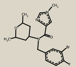 CC1CC(N(Cc2ccc(F)c(Br)c2)C(=O)c2cn(C)cn2)CC(C)O1